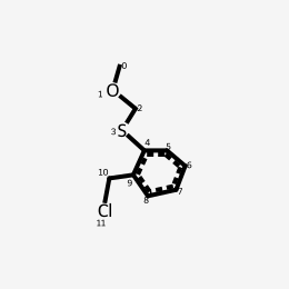 COCSc1ccccc1CCl